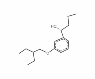 CCC[C@@H](O)c1cccc(OCC(CC)CC)c1